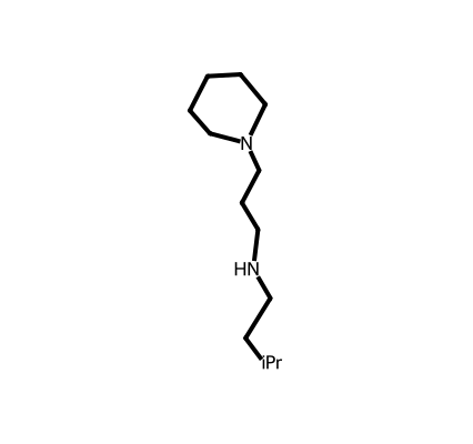 CC(C)CCNCCCN1CCCCC1